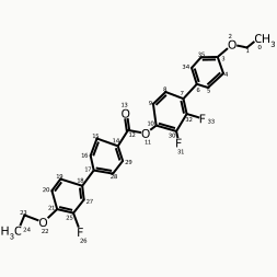 CCOc1ccc(-c2ccc(OC(=O)c3ccc(-c4ccc(OCC)c(F)c4)cc3)c(F)c2F)cc1